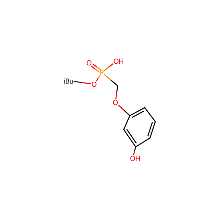 CCC(C)OP(=O)(O)COc1cccc(O)c1